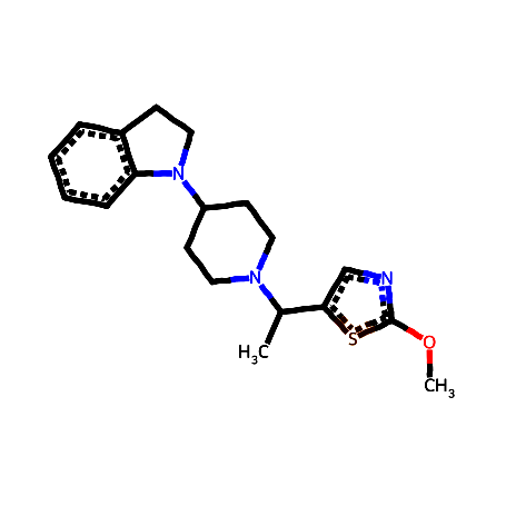 COc1ncc(C(C)N2CCC(N3CCc4ccccc43)CC2)s1